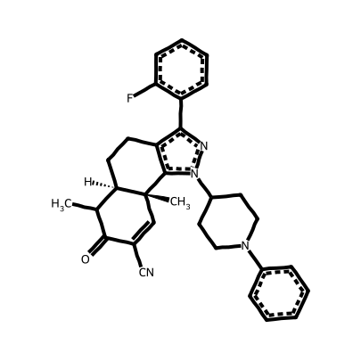 CC1C(=O)C(C#N)=C[C@@]2(C)c3c(c(-c4ccccc4F)nn3C3CCN(c4ccccc4)CC3)CC[C@H]12